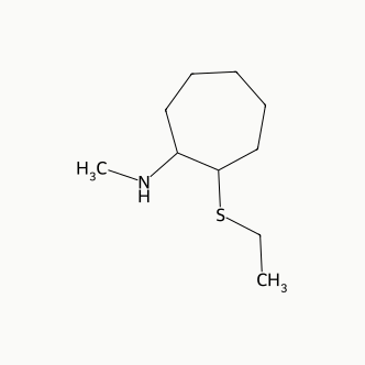 CCSC1CCCCCC1NC